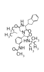 CC(=O)Nc1cccc([C@H](C(=O)NC(C)(C)C)N2C(=O)C(C3Cc4ccccc4C3)NC(=O)[C@H]2CC(C)C)c1